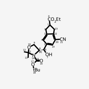 CCOC(=O)C1Cc2cc(C(O)[C@H]3COC(C)(C)N3C(=O)OC(C)(C)C)cc(C#N)c2C1